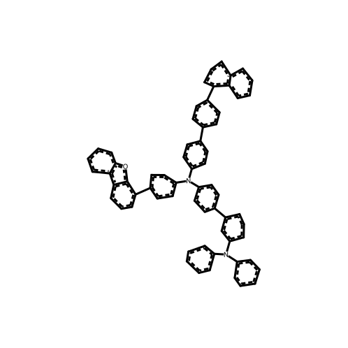 c1ccc(N(c2ccccc2)c2cccc(-c3ccc(N(c4ccc(-c5ccc(-c6cccc7ccccc67)cc5)cc4)c4ccc(-c5cccc6c5oc5ccccc56)cc4)cc3)c2)cc1